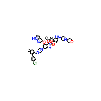 CC1(C)CCC(CN2CCN(c3ccc(C(=O)NS(=O)(=O)c4ccc(NC5CCN(C6CCOCC6)CC5)cc4[N+](=O)[O-])c(Oc4cnc5[nH]ccc5c4)c3)CC2)=C(c2ccc(Cl)cc2)C1